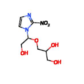 O=[N+]([O-])c1nccn1C(CO)OCC(O)CO